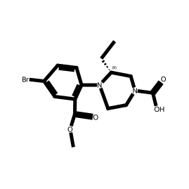 CC[C@@H]1CN(C(=O)O)CCN1c1ccc(Br)cc1C(=O)OC